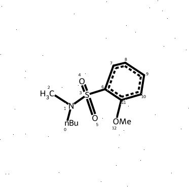 CCCCN(C)S(=O)(=O)c1ccccc1OC